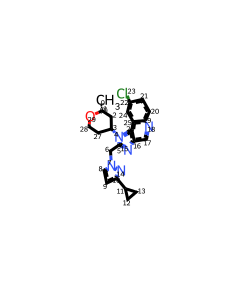 C[C@@H]1CC(n2c(Cn3ccc(C4CC4)n3)nc3cnc4ccc(Cl)cc4c32)CCO1